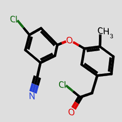 Cc1ccc(CC(=O)Cl)cc1Oc1cc(Cl)cc(C#N)c1